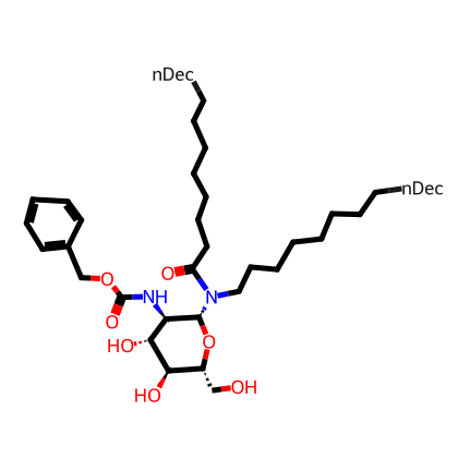 CCCCCCCCCCCCCCCCCCN(C(=O)CCCCCCCCCCCCCCCCC)[C@@H]1O[C@H](CO)[C@@H](O)[C@H](O)[C@H]1NC(=O)OCc1ccccc1